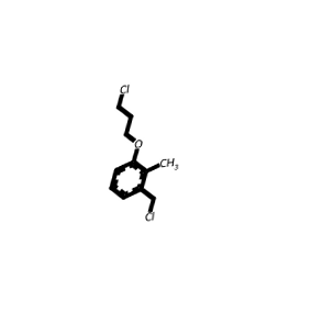 Cc1c(CCl)cccc1OCCCCl